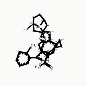 Cc1ccccc1-c1noc(C2CC2)c1COC1CC2CC[C@@H](C1)N2c1nc2c(F)cc(C(N)=O)cc2s1